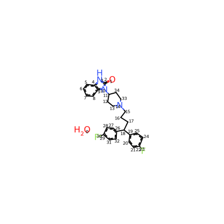 O.O=c1[nH]c2ccccc2n1C1CCN(CCCC(c2ccc(F)cc2)c2ccc(F)cc2)CC1